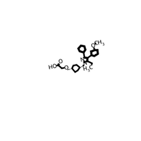 CCc1c(-c2cccc(OC)c2)c(-c2ccccc2)nn1C[C@H]1CC[C@@H](COCC(=O)O)CC1